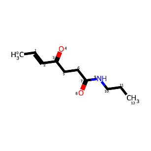 C/C=C/C(=O)CCC(=O)NCCC